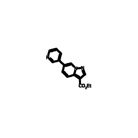 CCOC(=O)c1cnn2cc(-c3cccnc3)ccc12